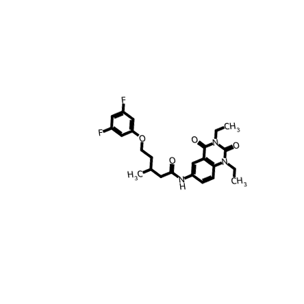 CCn1c(=O)c2cc(NC(=O)CC(C)CCOc3cc(F)cc(F)c3)ccc2n(CC)c1=O